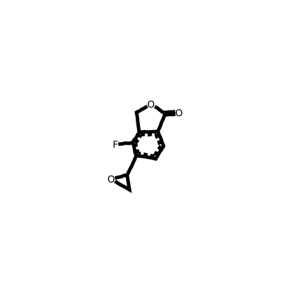 O=C1OCc2c1ccc(C1CO1)c2F